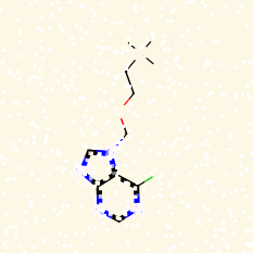 C[Si](C)(C)CCOCn1cnc2ncnc(Cl)c21